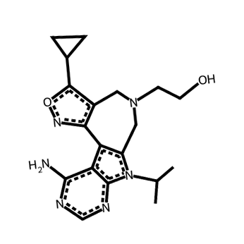 CC(C)n1c2c(c3c(N)ncnc31)-c1noc(C3CC3)c1CN(CCO)C2